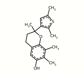 Cc1cc(C2(C)CCc3cc(O)c(C)c(C)c3O2)c(C)s1